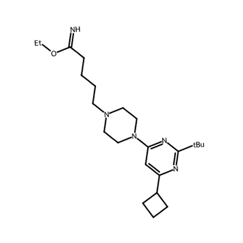 CCOC(=N)CCCCN1CCN(c2cc(C3CCC3)nc(C(C)(C)C)n2)CC1